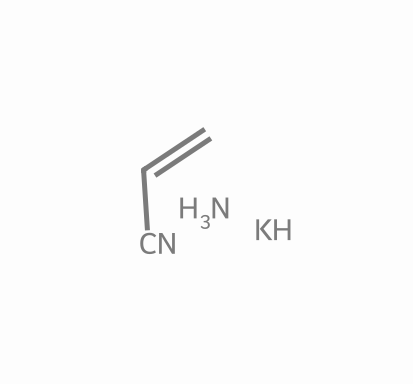 C=CC#N.N.[KH]